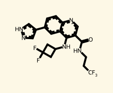 O=C(NCCC(F)(F)F)c1cnc2ccc(-c3cn[nH]c3)cc2c1NC1CC(F)(F)C1